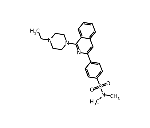 CCN1CCN(c2nc(-c3ccc(S(=O)(=O)N(C)C)cc3)cc3ccccc23)CC1